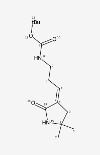 CC1(C)C/C(=C/CCNC(=O)OC(C)(C)C)C(=O)N1